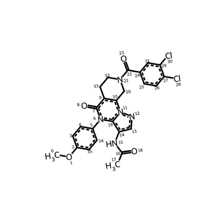 COc1ccc(-n2c(=O)c3c(n4ncc(NC(C)=O)c24)CN(C(=O)c2ccc(Cl)c(Cl)c2)CC3)cc1